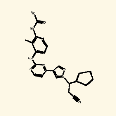 Cc1c(NC(=O)O)cccc1Nc1nccc(-c2cnn(C(CC#N)C3CCCC3)c2)n1